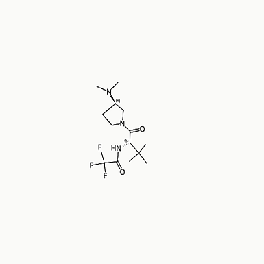 CN(C)[C@@H]1CCN(C(=O)[C@@H](NC(=O)C(F)(F)F)C(C)(C)C)C1